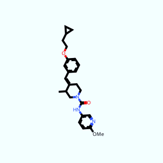 COc1ccc(NC(=O)N2CCC(=Cc3cccc(OCCC4CC4)c3)C(C)C2)cn1